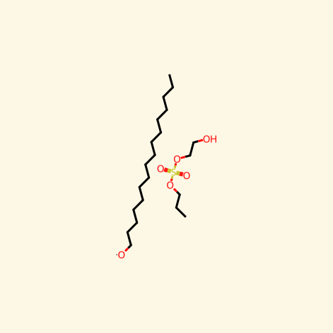 CCCCCCCCCCCCCCCC[O].CCCOS(=O)(=O)OCCO